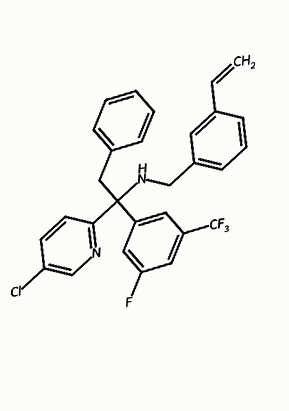 C=Cc1cccc(CNC(Cc2ccccc2)(c2cc(F)cc(C(F)(F)F)c2)c2ccc(Cl)cn2)c1